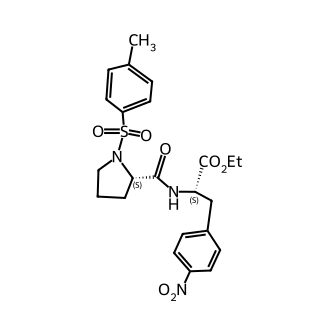 CCOC(=O)[C@H](Cc1ccc([N+](=O)[O-])cc1)NC(=O)[C@@H]1CCCN1S(=O)(=O)c1ccc(C)cc1